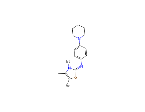 CCn1c(C)c(C(C)=O)sc1=Nc1ccc(N2CCCCC2)cc1